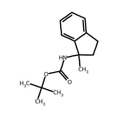 CC(C)(C)OC(=O)NC1(C)CCc2ccccc21